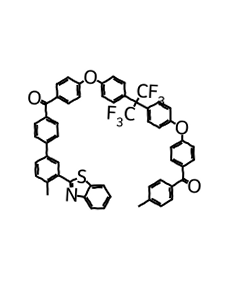 Cc1ccc(C(=O)c2ccc(Oc3ccc(C(c4ccc(Oc5ccc(C(=O)c6ccc(-c7ccc(C)c(-c8nc9ccccc9s8)c7)cc6)cc5)cc4)(C(F)(F)F)C(F)(F)F)cc3)cc2)cc1